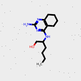 CCCCC(CO)Nc1nc(N)nc2c1CCCC2